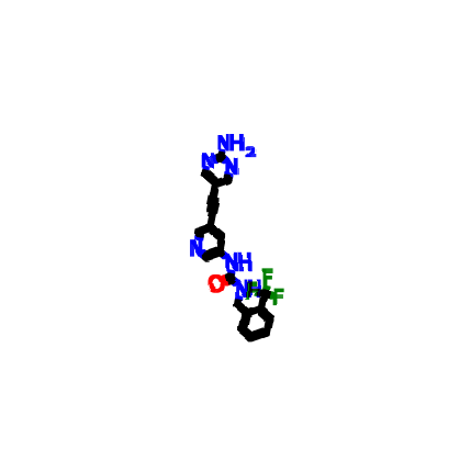 Nc1ncc(C#Cc2cncc(NC(=O)NCc3ccccc3C(F)(F)F)c2)cn1